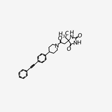 CCC1(CC(=O)N2CCC(c3ccc(C#Cc4ccccc4)cc3)CC2)NC(=O)NC1=O